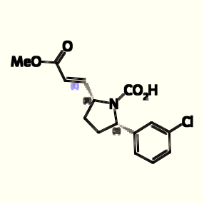 COC(=O)/C=C/[C@H]1CC[C@@H](c2cccc(Cl)c2)N1C(=O)O